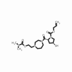 C=CCOC(=O)N1C[C@@H](S)C[C@H]1C(=O)N1CCCN(CCOC(=O)N(C)C)CC1